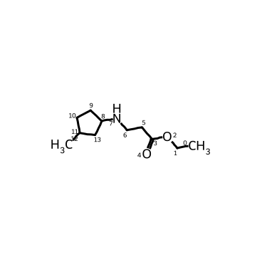 CCOC(=O)CCNC1CCC(C)C1